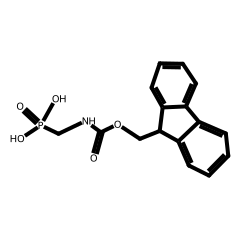 O=C(NCP(=O)(O)O)OCC1c2ccccc2-c2ccccc21